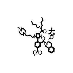 CCCCN(CCCC)C(=O)c1cn(CCCN2CCN(C)CC2)c(-c2ccc(C(=O)OC)cc2C(=O)N2Cc3ccccc3C[C@H]2CO[Si](C)(C)C(C)(C)C)n1